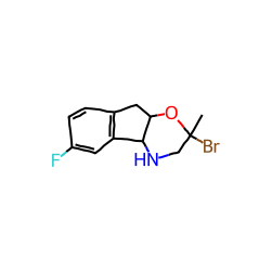 CC1(Br)CNC2c3cc(F)ccc3CC2O1